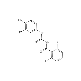 O=C(NC(=O)c1c(F)cccc1F)Nc1ccc(Cl)c(F)c1